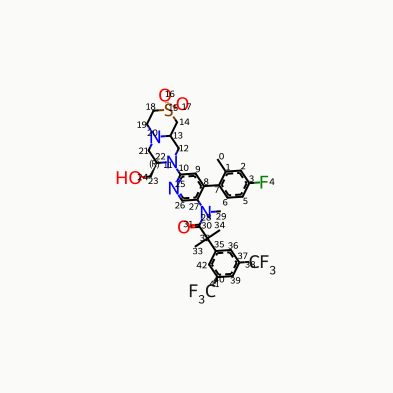 Cc1cc(F)ccc1-c1cc(N2CC3CS(=O)(=O)CCN3C[C@@H]2CO)ncc1N(C)C(=O)C(C)(C)c1cc(C(F)(F)F)cc(C(F)(F)F)c1